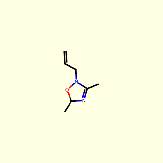 C=CCN1OC(C)N=C1C